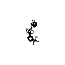 FC(F)(F)c1cccc(-c2nnc(N3CCN4CCC3CC4)o2)c1